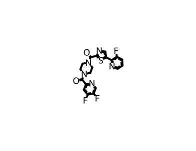 O=C(c1cc(F)c(F)cn1)N1CCN(C(=O)c2ncc(-c3ncccc3F)s2)CC1